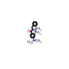 CN(C)c1ccc(C(=O)C(Cc2ccccc2)N(C)C)cc1